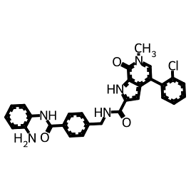 Cn1cc(-c2ccccc2Cl)c2cc(C(=O)NCc3ccc(C(=O)Nc4ccccc4N)cc3)[nH]c2c1=O